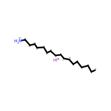 CCCCCCCCCCCCCCCCCN.I